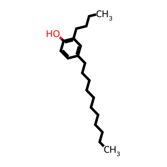 CCCCCCCCCCCc1ccc(O)c(CCCC)c1